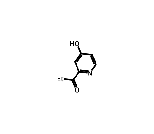 CCC(=O)c1cc(O)ccn1